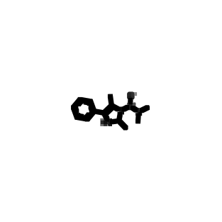 CC1=C(c2ccccc2)NC(C)N1[S+]([O-])N(C)C